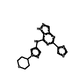 c1nc(-c2nc(Nc3cnn(C4CCOCC4)c3)c3[nH]ncc3n2)co1